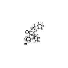 O=C1C2CN(Cc3ccccc3)CC2C(c2ccccc2)C1c1ccc(F)cc1